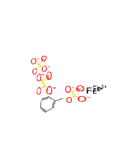 Cc1ccccc1.O=S(=O)([O-])[O-].O=S(=O)([O-])[O-].O=S(=O)([O-])[O-].[Fe+3].[Fe+3]